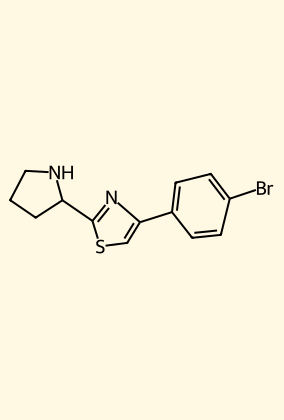 Brc1ccc(-c2csc(C3CCCN3)n2)cc1